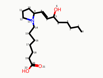 CCCCCC(O)C=CC1CCCN1CCCCCCC(=O)O